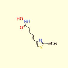 C#Cc1nc(/C=C/C=C/C(=O)NO)cs1